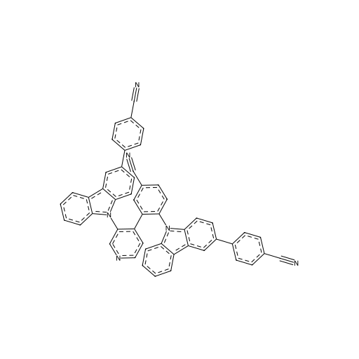 N#Cc1ccc(-c2ccc3c(c2)c2ccccc2n3-c2ccc(C#N)cc2-c2ccncc2-n2c3ccccc3c3cc(-c4ccc(C#N)cc4)ccc32)cc1